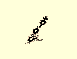 CC(C)(C)c1ccc(COc2ccc(S(=O)(=O)N3CCC(O)CC3C(=O)NO)cc2)cc1